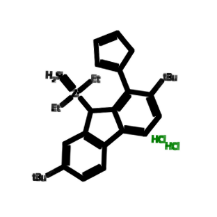 C[CH2][Zr](=[SiH2])([CH2]C)[CH]1c2cc(C(C)(C)C)ccc2-c2ccc(C(C)(C)C)c(C3=CC=CC3)c21.Cl.Cl